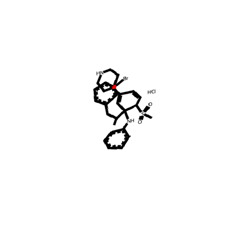 CC(Cc1cccc(Br)c1)C1(Nc2ccccc2)C=C(N2CCNCC2)C=CC1S(C)(=O)=O.Cl